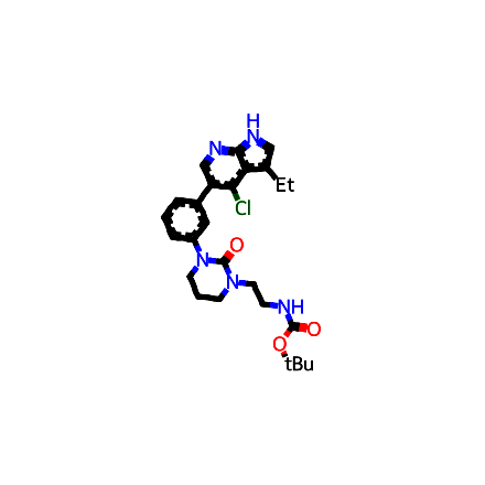 CCc1c[nH]c2ncc(-c3cccc(N4CCCN(CCNC(=O)OC(C)(C)C)C4=O)c3)c(Cl)c12